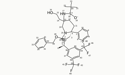 C[C@@H](OC[C@@]1(c2ccccc2)CCC(CCO)(N[S+]([O-])C(C)(C)C)CN1C(=O)OCc1ccccc1)c1cc(C(F)(F)F)cc(C(F)(F)F)c1